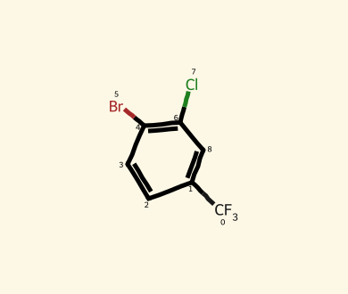 FC(F)(F)c1ccc(Br)c(Cl)c1